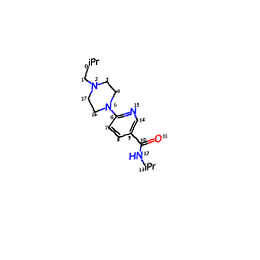 CC(C)CN1CCN(c2ccc(C(=O)NC(C)C)cn2)CC1